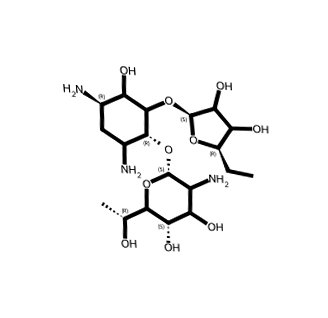 CC[C@H]1O[C@@H](OC2C(O)[C@H](N)CC(N)[C@H]2O[C@H]2OC([C@@H](C)O)[C@@H](O)C(O)C2N)C(O)C1O